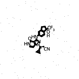 N#CC[C@@H](C1CC1)n1nc(Nc2ccc3c(c2)CC[C@@]3(O)C(F)(F)F)c2c(=O)[nH]ccc21